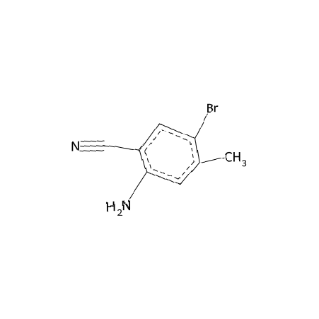 Cc1cc(N)c(C#N)cc1Br